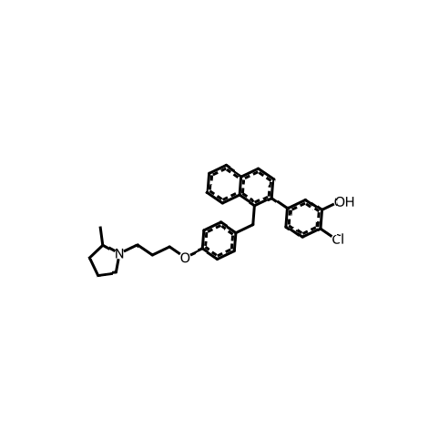 CC1CCCN1CCCOc1ccc(Cc2c(-c3ccc(Cl)c(O)c3)ccc3ccccc23)cc1